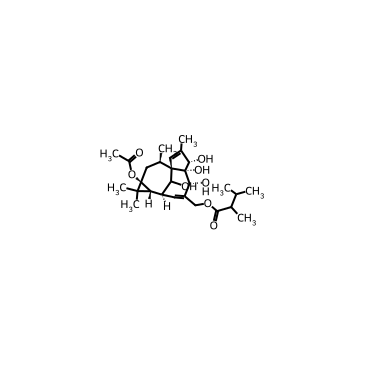 CC(=O)O[C@@]12C[C@@H](C)[C@]34C=C(C)[C@H](O)[C@@]3(O)[C@H](O)C(COC(=O)C(C)C(C)C)=C[C@H](C4O)[C@@H]1C2(C)C